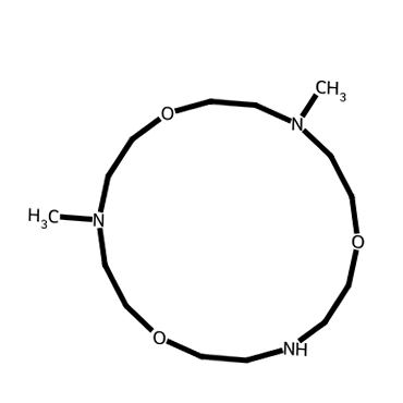 CN1CCOCCNCCOCCN(C)CCOCC1